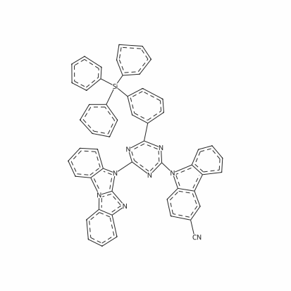 N#Cc1ccc2c(c1)c1ccccc1n2-c1nc(-c2cccc([Si](c3ccccc3)(c3ccccc3)c3ccccc3)c2)nc(-n2c3ccccc3n3c4ccccc4nc23)n1